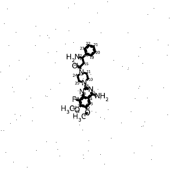 COc1cc2c(N)nc(N3CCN(C(=O)CC(N)c4ccccc4)CC3)nc2c(F)c1OC